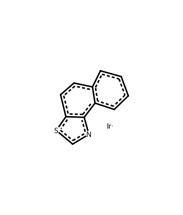 [Ir].c1ccc2c(c1)ccc1scnc12